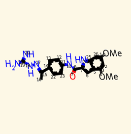 COc1cc(OC)c2cc(C(=O)Nc3ccc(/C(C)=N/NC(=N)N)cc3)[nH]c2c1